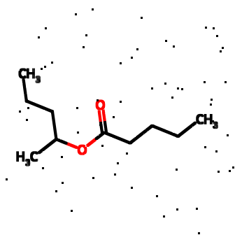 CCCCC(=O)OC(C)CCC